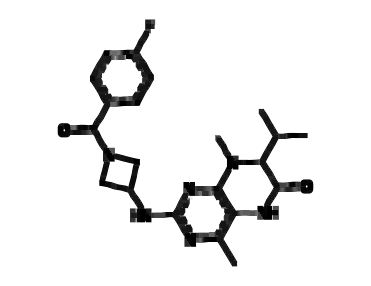 Cc1nc(NC2CN(C(=O)c3ccc(F)cc3)C2)nc2c1NC(=O)C(C(C)C)N2C